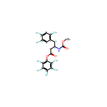 CC(C)(C)OC(=O)NC(CC(=O)Oc1c(F)c(F)c(F)c(F)c1F)Cc1cc(F)c(F)cc1F